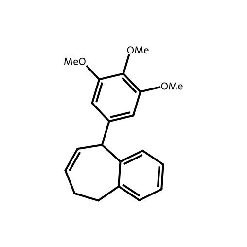 COc1cc(C2C=CCCc3ccccc32)cc(OC)c1OC